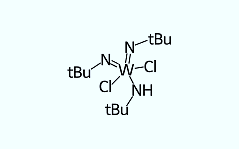 CC(C)(C)[N]=[W]([Cl])([Cl])(=[N]C(C)(C)C)[NH]C(C)(C)C